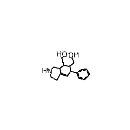 OCC1C2CNCCC2=CC(c2ccccc2)C1CO